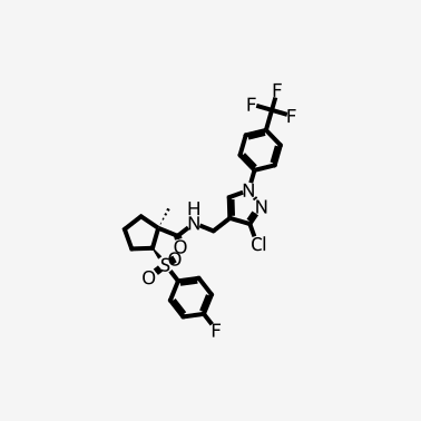 C[C@@]1(C(=O)NCc2cn(-c3ccc(C(F)(F)F)cc3)nc2Cl)CCC[C@@H]1S(=O)(=O)c1ccc(F)cc1